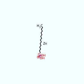 CCCCCCCCCCCCCCCCOP(=O)(O)O.[Zn]